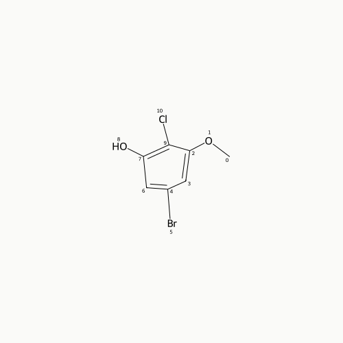 COc1cc(Br)cc(O)c1Cl